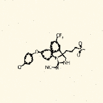 CS(=O)(=O)CCCC1(c2cccc(C(F)(F)F)c2)CNC(=NC#N)N1c1ccc(Oc2ccc(Cl)cc2)cc1